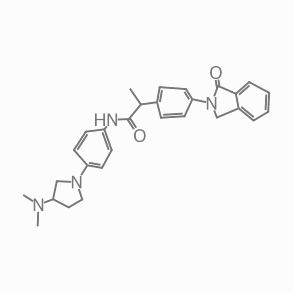 CC(C(=O)Nc1ccc(N2CCC(N(C)C)C2)cc1)c1ccc(N2Cc3ccccc3C2=O)cc1